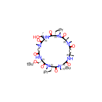 CC[C@H](C)[C@H]1C(=O)N[C@H](C)CC(=O)N(C)[C@H](C)C(=O)N(C)[C@@H](CC(C)C)C(=O)N[C@@H]([C@@H](C)O)C(=O)N(C)CC(=O)N[C@@H](COC(C)(C)C)C(=O)N(C)[C@@H](CC(C)C)C(=O)N1C